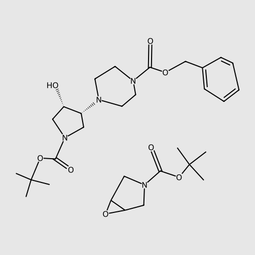 CC(C)(C)OC(=O)N1CC2OC2C1.CC(C)(C)OC(=O)N1C[C@@H](N2CCN(C(=O)OCc3ccccc3)CC2)[C@@H](O)C1